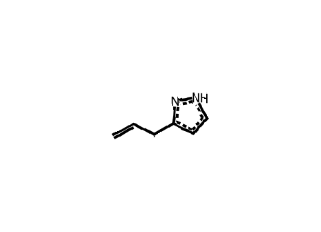 C=C[CH]c1cc[nH]n1